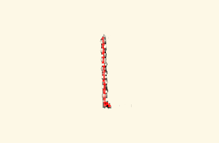 CCCCCn1cc(COCCOCCOCCOCCOCCOCCOCCOCCOCCOCCOCCOCCOCCOCCC(C)=O)nn1